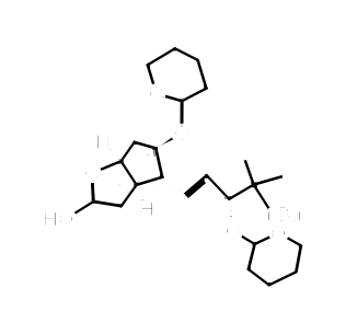 CCCCC(C)(C)[C@@H](/C=C/[C@@H]1[C@H]2CC(O)O[C@H]2C[C@H]1OC1CCCCO1)OC1CCCCO1